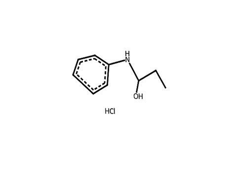 CCC(O)Nc1ccccc1.Cl